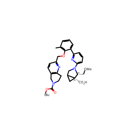 COC[C@H]1N(c2cccc(-c3cccc(C)c3OCc3ccc4c(n3)CCN(C(=O)OC(C)(C)C)C4)n2)CC2C[C@@]21C(=O)O